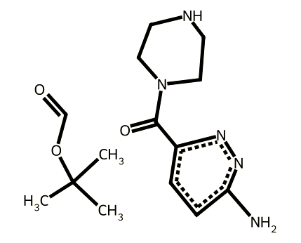 CC(C)(C)OC=O.Nc1ccc(C(=O)N2CCNCC2)nn1